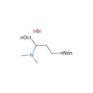 Br.CCCCCCCCCCCC(CCCCCCCC)N(C)C